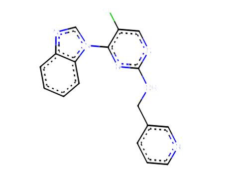 Clc1cnc(NCc2cccnc2)nc1-n1cnc2ccccc21